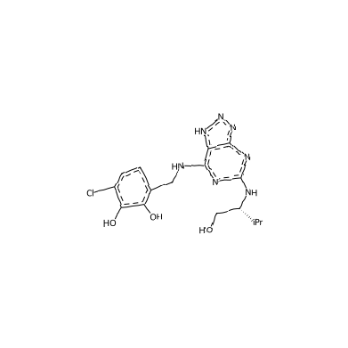 CC(C)[C@H](CO)Nc1nc(NCc2ccc(Cl)c(O)c2O)c2[nH]nnc2n1